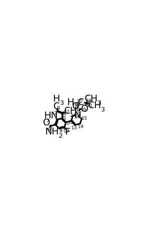 Cc1[nH]c2c(C(N)=O)cc(F)c(C3=CCCN(C(=O)OC(C)(C)C)C3)c2c1C